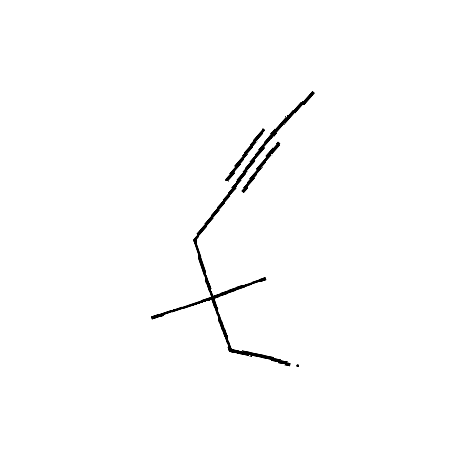 [CH2]CC(C)(C)CC#CC